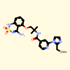 COCc1nccn1-c1cc(C(=O)NC(C)(C)COc2cccc3c2C(N)=NS(=O)(=O)N3)ccn1